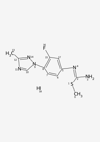 CSC(N)=Nc1ccc(-n2cnc(C)n2)c(F)c1.I